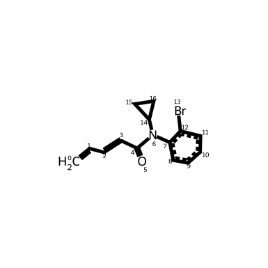 C=CC=CC(=O)N(c1ccccc1Br)C1CC1